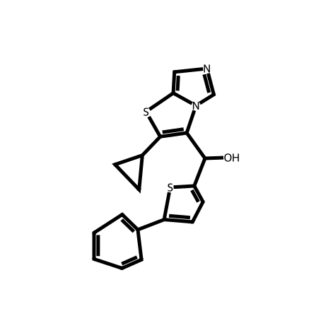 OC(c1ccc(-c2ccccc2)s1)c1c(C2CC2)sc2cncn12